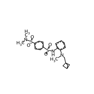 CN(CC12CC(C1)C2)c1ccccc1NS(=O)(=O)c1ccc(S(=O)(=O)N(C)C)cc1